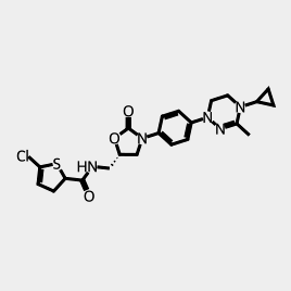 CC1=NN(c2ccc(N3C[C@H](CNC(=O)C4CC=C(Cl)S4)OC3=O)cc2)CCN1C1CC1